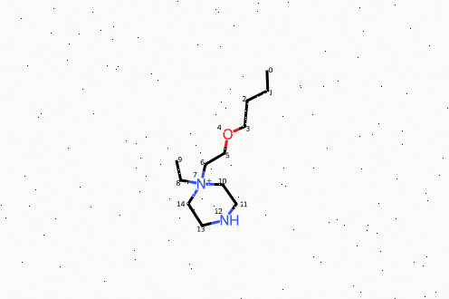 CCCCOCC[N+]1(CC)CCNCC1